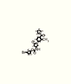 Cc1cc(N2C[C@H](NC(=O)Oc3ccc(Br)s3)CC2=O)ccc1C(=O)N1CCSC1